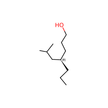 CCC[C@H](CCCO)CC(C)C